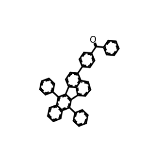 O=C(c1ccccc1)c1ccc(-c2ccc3c4c(cccc24)-c2c-3c(-c3ccccc3)c3ccccc3c2-c2ccccc2)cc1